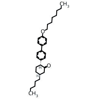 CCCCCCCCOc1ccc(-c2ccc([C@H]3CC[C@H](CCCCC)CC3=O)cc2)cc1